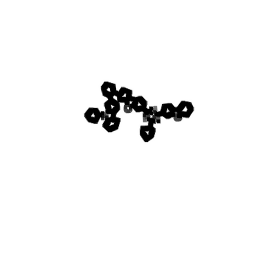 c1ccc(-c2nc(-c3ccc4c(c3)oc3ccccc34)nc(-c3ccc4c(c3)oc3cc(-c5ccccc5-c5ccc6c7ccccc7n(-c7ccccc7)c6c5)ccc34)n2)cc1